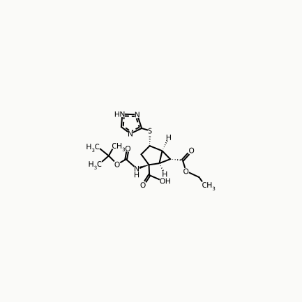 CCOC(=O)[C@H]1[C@H]2[C@@H]1[C@](NC(=O)OC(C)(C)C)(C(=O)O)C[C@@H]2Sc1nc[nH]n1